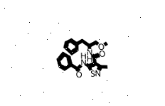 COCC(Cc1ccccc1)NC(=O)c1c(C)nsc1NC(=O)c1ccccc1